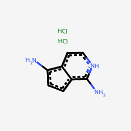 Cl.Cl.Nc1ccc2c(N)[nH]ccc1-2